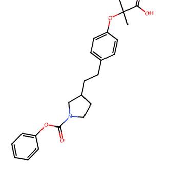 CC(C)(Oc1ccc(CCC2CCN(C(=O)Oc3ccccc3)C2)cc1)C(=O)O